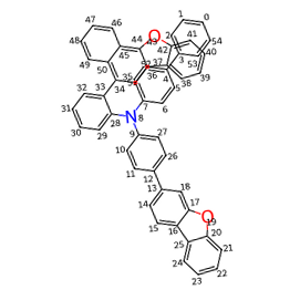 c1ccc(-c2ccc(N(c3ccc(-c4ccc5c(c4)oc4ccccc45)cc3)c3ccccc3-c3cc4c5ccccc5oc4c4ccccc34)cc2)cc1